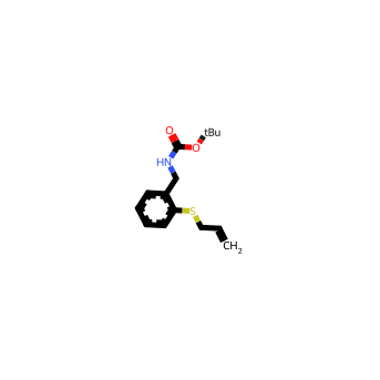 C=CCSc1ccccc1CNC(=O)OC(C)(C)C